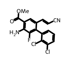 COC(=O)c1cc(C=CC#N)c(-c2cccc(Cl)c2Cl)c(F)c1N